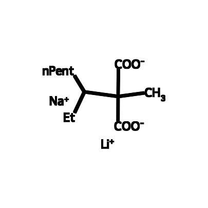 CCCCCC(CC)C(C)(C(=O)[O-])C(=O)[O-].[Li+].[Na+]